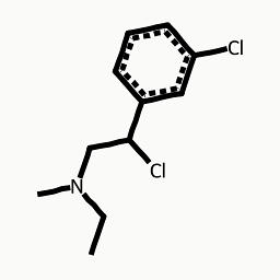 CCN(C)CC(Cl)c1cccc(Cl)c1